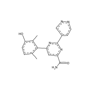 Cc1ccc(O)c(C)c1-c1cc(C(N)=O)nc(-c2ccnnc2)n1